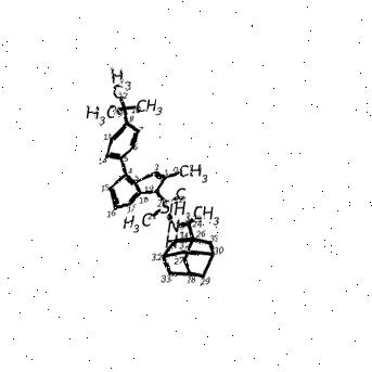 CC1=Cc2c(-c3ccc(C(C)(C)C)cc3)cccc2C1[Si](C)(C)NC(C)C12CC3CC(CC(C3)C1)C2